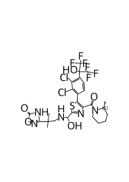 C[C@H]1CCCCN1C(=O)c1nc(C(O)NCC(C)(C)c2noc(=O)[nH]2)sc1-c1ccc(C(O)(C(F)(F)F)C(F)(F)F)c(Cl)c1Cl